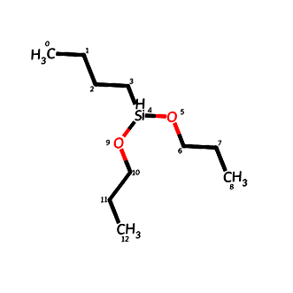 CCCC[SiH](OCCC)OCCC